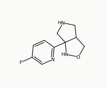 Fc1ccc(C23CNCC2CON3)nc1